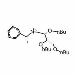 CCCCOC[C@H](OCCCC)[C@@H](OCCCC)[C@H]1CN1[C@H](C)c1ccccc1